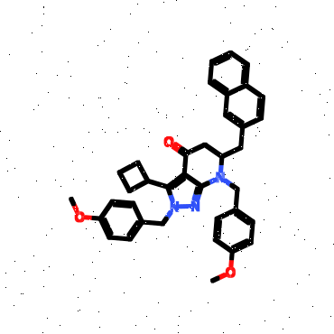 COc1ccc(CN2c3nn(Cc4ccc(OC)cc4)c(C4CCC4)c3C(=O)CC2Cc2ccc3ccccc3c2)cc1